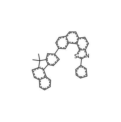 CC1(C)c2cc(-c3ccc4ccc5ccc6nc(-c7ccccc7)sc6c5c4c3)ccc2-c2c1ccc1ccccc21